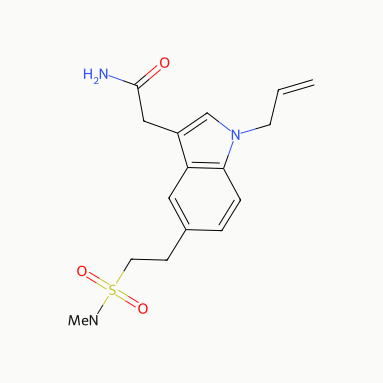 C=CCn1cc(CC(N)=O)c2cc(CCS(=O)(=O)NC)ccc21